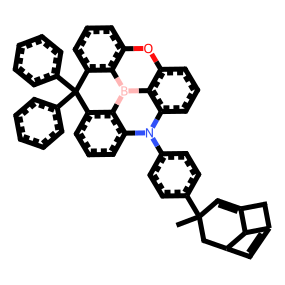 CC1(c2ccc(N3c4cccc5c4B4c6c(cccc6C(c6ccccc6)(c6ccccc6)c6cccc3c64)O5)cc2)C=C2CC3=CC(C1)C32